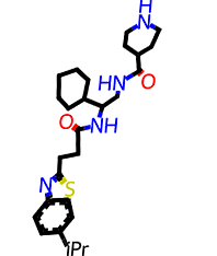 CC(C)c1ccc2nc(CCC(=O)NC(CNC(=O)C3CCNCC3)C3CCCCC3)sc2c1